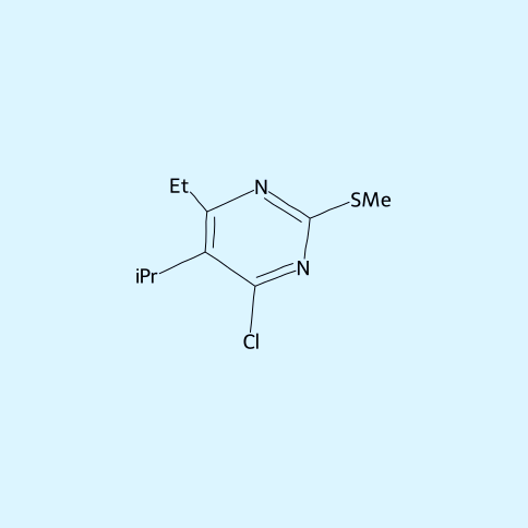 CCc1nc(SC)nc(Cl)c1C(C)C